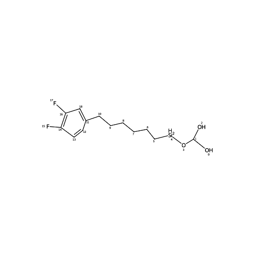 OC(O)O[SiH2]CCCCCCc1ccc(F)c(F)c1